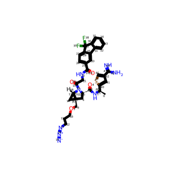 C[C@@H](NC(=O)[C@@H]1C[C@]2(COCCCN=[N+]=[N-])C[C@@H]2N1C(=O)CNC(=O)c1ccc2c(c1)-c1ccccc1C2(F)F)c1cc(C(=N)N)cs1